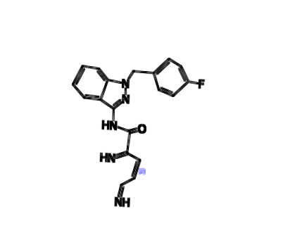 N=C/C=C\C(=N)C(=O)Nc1nn(Cc2ccc(F)cc2)c2ccccc12